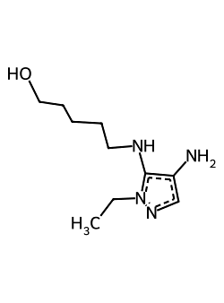 CCn1ncc(N)c1NCCCCCO